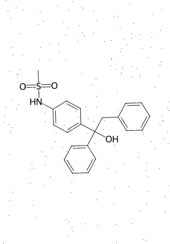 CS(=O)(=O)Nc1ccc(C(O)(Cc2ccccc2)c2ccccc2)cc1